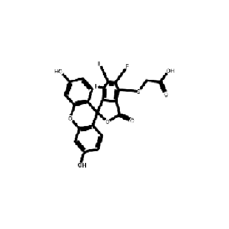 O=C(O)CSc1c(F)c(F)c(F)c2c1C(=O)OC21c2ccc(O)cc2Oc2cc(O)ccc21